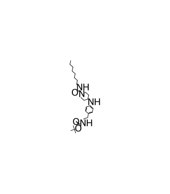 CCCCCCCCNC(=O)N1CCC(Nc2ccc(CCNC(=O)OC(C)(C)C)cc2)CC1